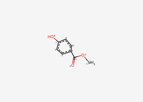 O=C(O[SiH3])c1ccc(O)cc1